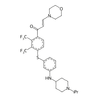 CC(C)N1CCC(Nc2cccc(Sc3ccc(C(=O)C=CN4CCOCC4)c(C(F)(F)F)c3C(F)(F)F)c2)CC1